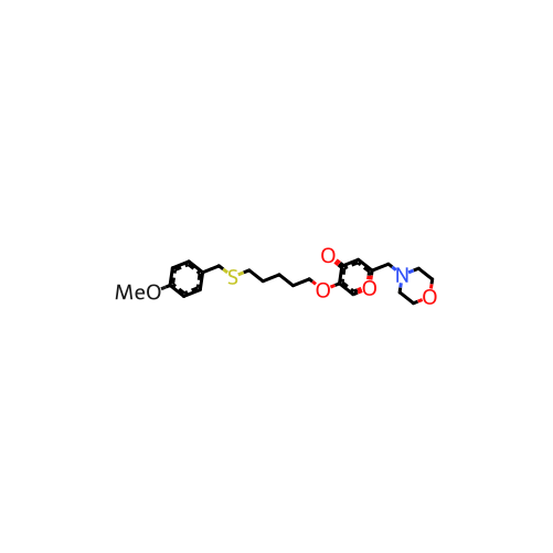 COc1ccc(CSCCCCCOc2coc(CN3CCOCC3)cc2=O)cc1